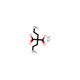 CCCC(CCC)(C(=O)[O-])C(=O)[O-].[Li+].[Li+]